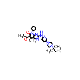 CC(=O)c1c(C)c2cnc(Nc3ccc(N4CCN(C(C)(C)C)CC4)cn3)nc2n(C2CCCC2)c1=O